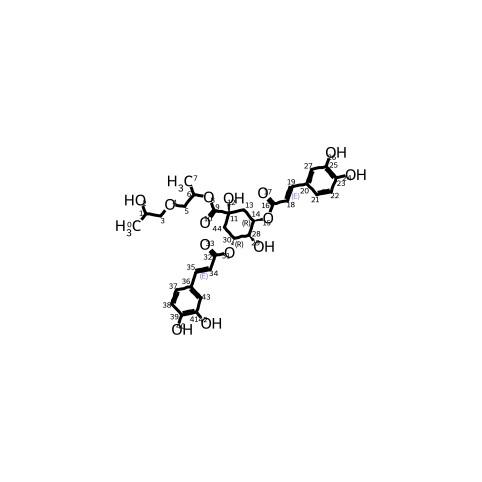 CC(O)COCC(C)OC(=O)[C@]1(O)C[C@@H](OC(=O)/C=C/c2ccc(O)c(O)c2)[C@@H](O)[C@H](OC(=O)/C=C/c2ccc(O)c(O)c2)C1